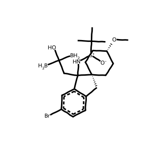 BC(B)(O)CC1(N[S+]([O-])C(C)(C)C)c2cc(Br)ccc2C[C@]12CC[C@@H](OC)CC2